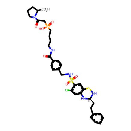 O=C(NCCCCP(=O)(O)CC(=O)N1CCCC1C(=O)O)c1ccc(CNS(=O)(=O)c2cc3c(cc2Cl)N[C@H](CCc2ccccc2)NS3)cc1